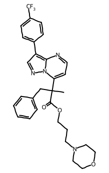 CC(Cc1ccccc1)(C(=O)OCCCN1CCOCC1)c1ccnc2c(-c3ccc(C(F)(F)F)cc3)cnn12